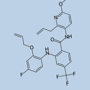 C=CCOc1cc(F)ccc1Nc1cc(C(F)(F)F)ccc1C(=O)Nc1ccc(OC)nc1CC=C